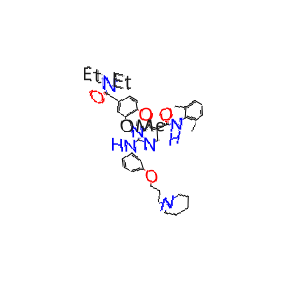 CCN(CC)C(=O)c1ccc(Oc2nc(Nc3cccc(OCCCN4CCCCC4)c3)ncc2C(=O)Nc2c(C)cccc2C)c(OC)c1